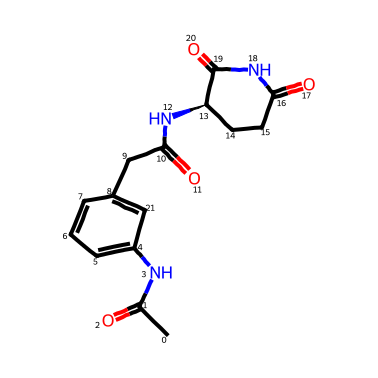 CC(=O)Nc1cccc(CC(=O)N[C@@H]2CCC(=O)NC2=O)c1